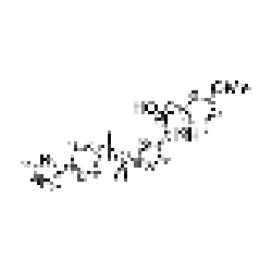 COc1ccc(NC(=O)c2ccc(C(=O)Nc3ccc(-n4cncn4)cc3)s2)c(C(=O)O)c1